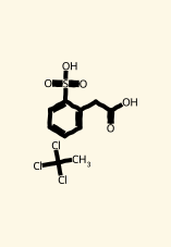 CC(Cl)(Cl)Cl.O=C(O)Cc1ccccc1S(=O)(=O)O